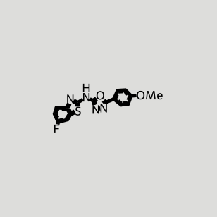 COc1ccc(-c2nnc(Nc3nc4ccc(F)cc4s3)o2)cc1